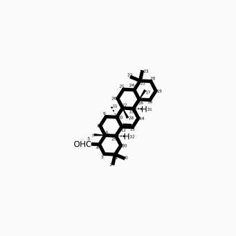 CC1(C)CC(C=O)[C@]2(C)CC[C@]3(C)C(=CC[C@@H]4[C@@]5(C)CCCC(C)(C)C5CC[C@]43C)[C@H]2C1